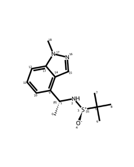 C[C@@H](N[S@+]([O-])C(C)(C)C)c1cccc2c1cnn2C